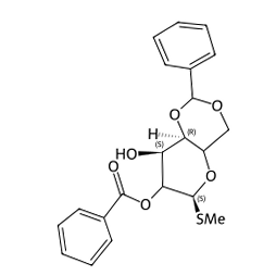 CS[C@@H]1OC2COC(c3ccccc3)O[C@@H]2[C@H](O)C1OC(=O)c1ccccc1